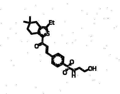 CCc1sc(C(=O)C=Cc2ccc(S(=O)(=O)NCCO)cc2)c2c1CC(C)(C)CC2